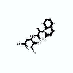 CC(C(=O)NC(CC(=O)O)C(=O)CF)n1c(=O)ccc2ccccc21